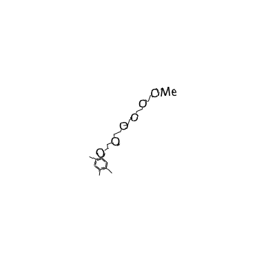 COCCOCCOCCOCCOCCOc1cc(C)c(C)cc1C